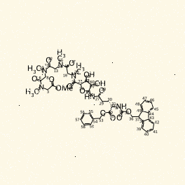 COC(=O)CN(C)C(=O)CN(C)C(=O)CN(C)C(=O)CN(C)C(=O)C1O[C@@H](NC(=O)CC[C@H](NC(=O)OCC2c3ccccc3-c3ccccc32)C(=O)OCc2ccccc2)[C@H](O)[C@@H]1O